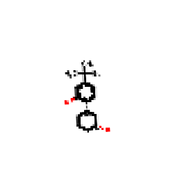 CCC(C)(C)c1ccc([C@H]2CCC[C@@H](O)C2)c(O)c1